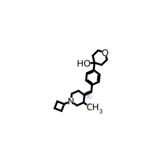 CC1CN(C2CCC2)CC/C1=C\c1ccc(C2(O)CCOCC2)cc1